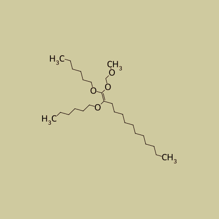 CCCCCCCCCCCC(OCCCCCC)=C(OCCCCCC)OCOC